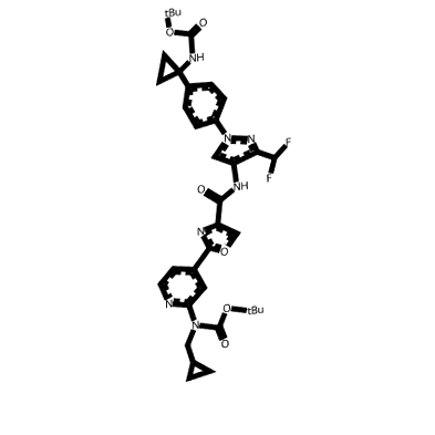 CC(C)(C)OC(=O)NC1(c2ccc(-n3cc(NC(=O)c4coc(-c5ccnc(N(CC6CC6)C(=O)OC(C)(C)C)c5)n4)c(C(F)F)n3)cc2)CC1